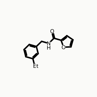 CCc1cccc(CNC(=O)c2ccco2)c1